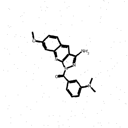 COc1ccc2cc3c(N)nn(C(=O)c4cccc(N(C)C)c4)c3nc2c1